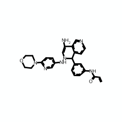 C=CC(=O)Nc1cccc(C2c3ccncc3C(N)=CN2Nc2ccc(N3CCOCC3)nc2)c1